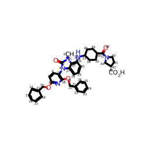 Cn1c(=O)n(-c2ccc(OCc3ccccc3)nc2OCc2ccccc2)c2cccc(NC3CCC(C(=O)N4CC[C@H](C(=O)O)C4)CC3)c21